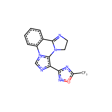 FC(F)(F)c1nc(-c2ncn3c2N2CCN=C2c2ccccc2-3)no1